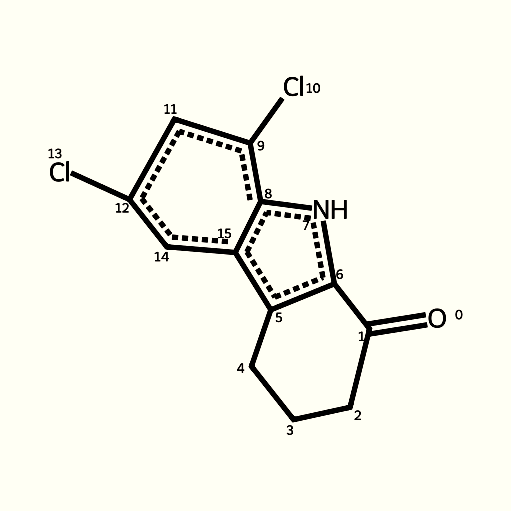 O=C1CCCc2c1[nH]c1c(Cl)cc(Cl)cc21